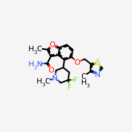 Cc1ncsc1COc1ccc2oc(C)c(C(N)=O)c2c1C1CN(C)CC(F)(F)C1